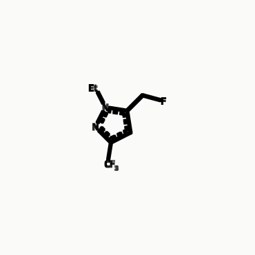 CCn1nc(C(F)(F)F)cc1CF